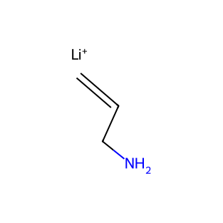 C=CCN.[Li+]